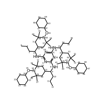 CCCC(Nc1nc(NC(CCC)C2CC(C)(C)N(OC3CCCCC3)C(C)(C)C2)nc(NC(CCC)C2CC(C)(C)N(OC3CCCCC3)C(C)(C)C2)n1)C1CC(C)(C)N(OC2CCCCC2)C(C)(C)C1